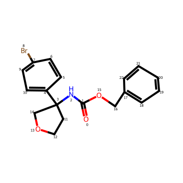 O=C(NC1(c2ccc(Br)cc2)CCOC1)OCc1ccccc1